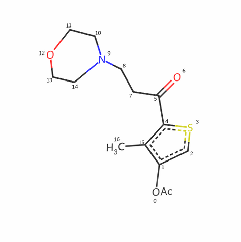 CC(=O)Oc1csc(C(=O)CCN2CCOCC2)c1C